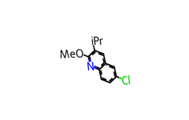 COc1nc2ccc(Cl)cc2cc1C(C)C